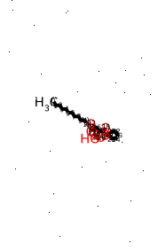 CCCCCCCCCCCCOC(=O)CC(C(=O)Oc1ccccc1)S(=O)(=O)O